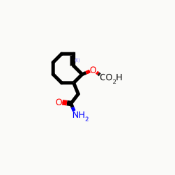 NC(=O)CC1CCCC/C=C/C1OC(=O)O